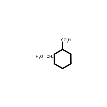 O.O.O=C(O)C1CCCCC1